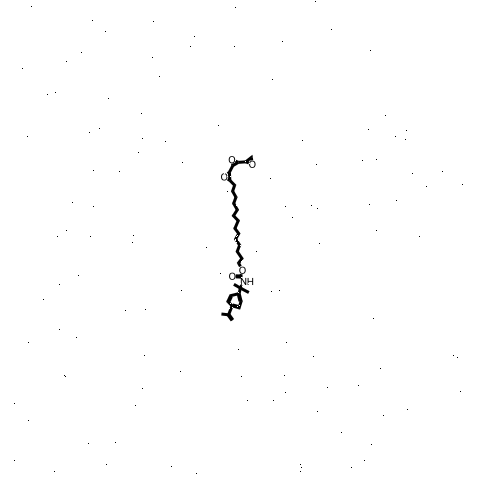 C=C(C)c1ccc(C(C)(C)NC(=O)OCCCCCCCCCCCCCCC2OC2C2OC2C2CO2)cc1